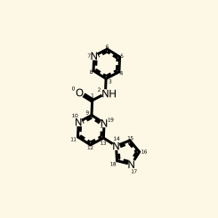 O=C(Nc1cccnc1)c1nccc(-n2ccnc2)n1